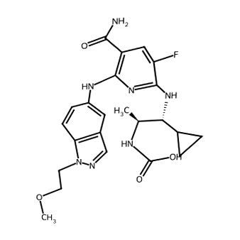 COCCn1ncc2cc(Nc3nc(N[C@H](C4CC4)[C@H](C)NC(=O)O)c(F)cc3C(N)=O)ccc21